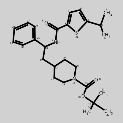 CC(C)c1ccc(C(=O)NC(CC2CCN(C(=O)OC(C)(C)C)CC2)c2ccccc2)s1